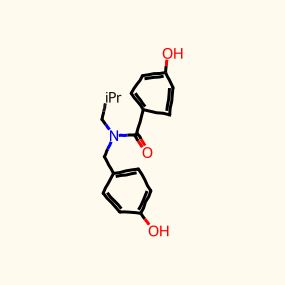 CC(C)CN(Cc1ccc(O)cc1)C(=O)c1ccc(O)cc1